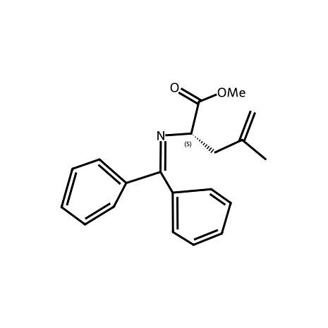 C=C(C)C[C@H](N=C(c1ccccc1)c1ccccc1)C(=O)OC